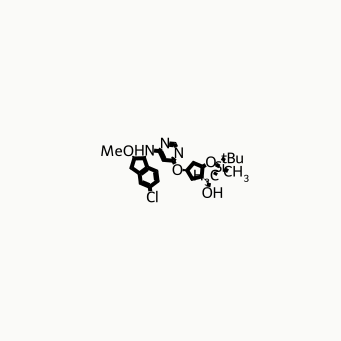 CO[C@H]1Cc2cc(Cl)ccc2[C@H]1Nc1cc(O[C@H]2CC(O[Si](C)(C)C(C)(C)C)[C@H](CO)C2)ncn1